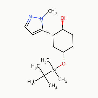 Cn1nccc1[C@H]1C[C@@H](O[Si](C)(C)C(C)(C)C)CC[C@@H]1O